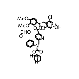 COc1ccc([C@H](Cc2c(Cl)c[n+](O)cc2Cl)OC(=O)c2ccc(CN(C(=O)O[C@H]3CN4CCC3CC4)c3ccccc3)nc2)cc1OC.O=C[O-]